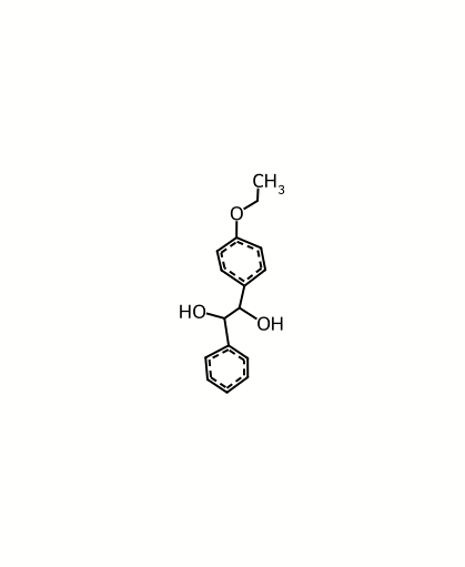 CCOc1ccc(C(O)C(O)c2ccccc2)cc1